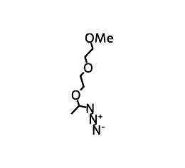 COCCOCCOC(C)N=[N+]=[N-]